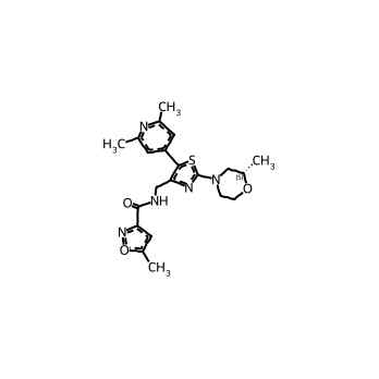 Cc1cc(-c2sc(N3CCO[C@@H](C)C3)nc2CNC(=O)c2cc(C)on2)cc(C)n1